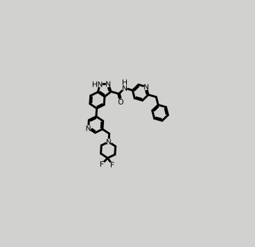 O=C(Nc1ccc(Cc2ccccc2)nc1)c1n[nH]c2ccc(-c3cncc(CN4CCC(F)(F)CC4)c3)cc12